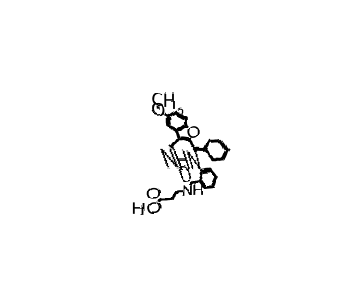 COc1ccc2oc(C(Nc3ccccc3C(=O)NCCC(=O)O)C3CCCCC3)c(C#N)c2c1